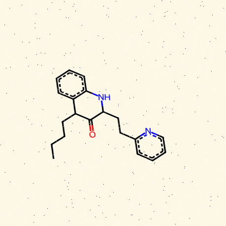 CCCCC1C(=O)C(CCc2ccccn2)Nc2ccccc21